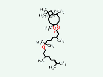 C=C1CCC(OCCC(C)CCCC(C)(C)OCCC(C)CCC=C(C)C)[C@@](C)(O)CC[C@H]2[C@H]1CC2(C)C